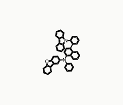 c1ccc(N(c2ccc3oc4ccccc4c3c2)c2ccc(-c3ccccc3-n3c4ccccc4c4ccccc43)c3ccccc23)cc1